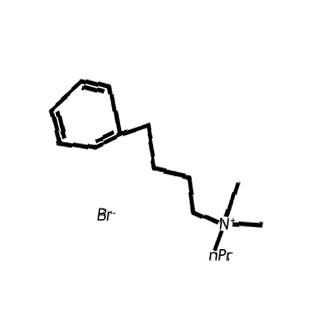 CCC[N+](C)(C)CCCCc1ccccc1.[Br-]